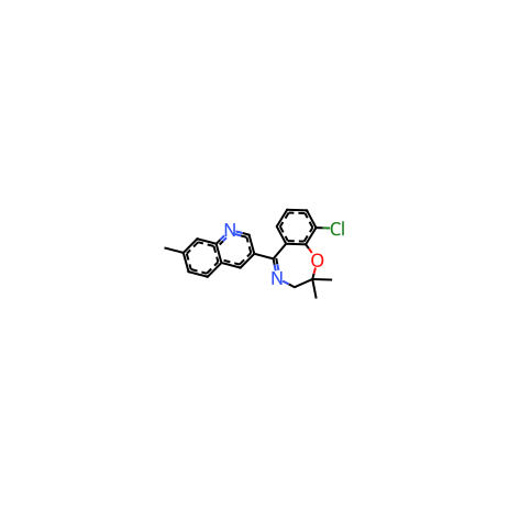 Cc1ccc2cc(C3=NCC(C)(C)Oc4c(Cl)cccc43)cnc2c1